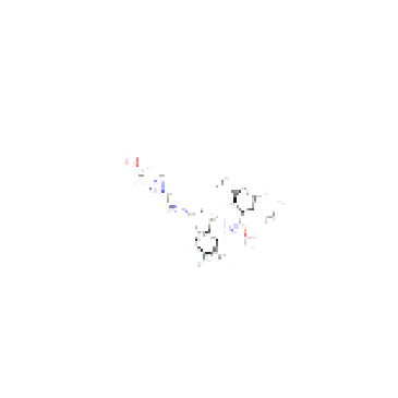 CN(CC(CCN1CC(N2CC[S+]([O-])CC2)C1)c1ccc(Cl)c(Cl)c1)C(=O)c1cc(C#N)cc2c1CCCC2